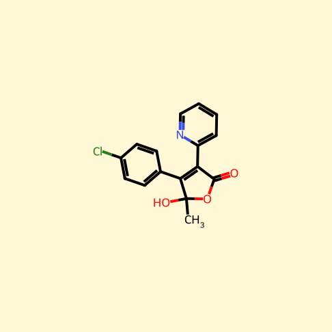 CC1(O)OC(=O)C(c2ccccn2)=C1c1ccc(Cl)cc1